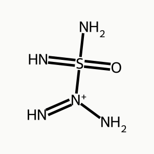 N=[N+](N)S(=N)(N)=O